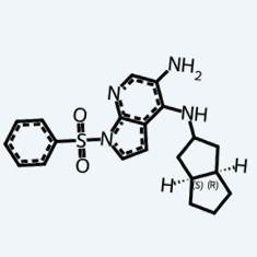 Nc1cnc2c(ccn2S(=O)(=O)c2ccccc2)c1NC1C[C@H]2CCC[C@H]2C1